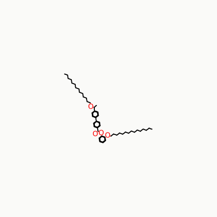 CCCCCCCCCCCCCCCOc1ccccc1OC(=O)c1ccc(-c2ccc(C(C)OCCCCCCCCCCCCCC)cc2)cc1